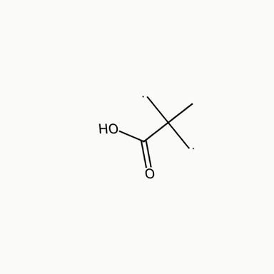 [CH2]C([CH2])(C)C(=O)O